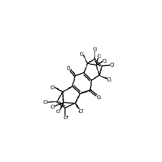 O=C1C2=C(C(=O)C3=C1C1(Cl)C(Cl)=C(Cl)C3(Cl)C1(Cl)Cl)C1(Cl)C(Cl)=C(Cl)C2(Cl)C1(Cl)Cl